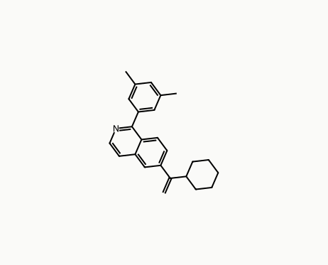 C=C(c1ccc2c(-c3cc(C)cc(C)c3)nccc2c1)C1CCCCC1